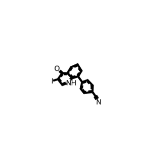 N#Cc1ccc(-c2cccc3c(=O)c(I)c[nH]c23)cc1